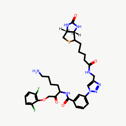 NCCCCC(NC(=O)c1cccc(-n2cc(CNC(=O)CCCCC3SC[C@@H]4NC(=O)N[C@H]34)nn2)c1)C(=O)COc1c(F)cccc1F